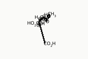 Cc1ccc(C[C@H](NCC(=O)[C@H](C)NC(=O)CC[C@H](NC(=O)CCCCCCCCCCCCCCCCC(=O)O)C(=O)O)C(N)=O)cc1